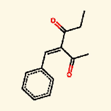 CCC(=O)/C(=C/c1ccccc1)C(C)=O